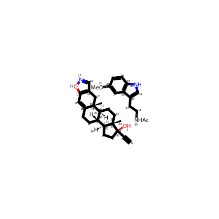 C#C[C@]1(O)CC[C@H]2[C@@H]3CCC4=Cc5oncc5C[C@]4(C)[C@H]3CC[C@@]21C.COc1ccc2[nH]cc(CCNC(C)=O)c2c1